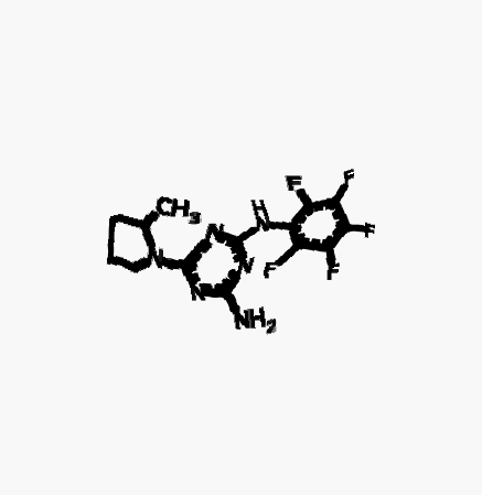 CC1CCCN1c1nc(N)nc(Nc2c(F)c(F)c(F)c(F)c2F)n1